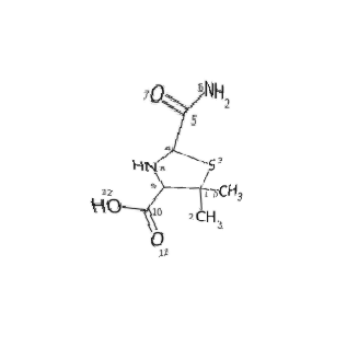 CC1(C)SC(C(N)=O)NC1C(=O)O